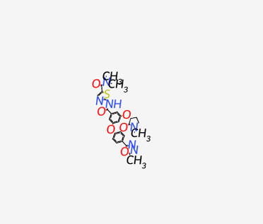 Cc1nnc(-c2ccc(Oc3cc(OC4CCN(C)C4=O)cc(C(=O)Nc4ncc(C(=O)N(C)C)s4)c3)cc2)o1